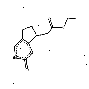 CCOC(=O)CC1CCc2c[nH]c(=O)cc21